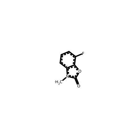 [CH2]n1c(=O)oc2c(F)cccc21